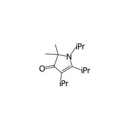 CC(C)C1=C(C(C)C)N(C(C)C)C(C)(C)C1=O